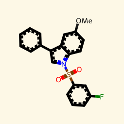 COc1ccc2c(c1)c(-c1ccccc1)cn2S(=O)(=O)c1cccc(F)c1